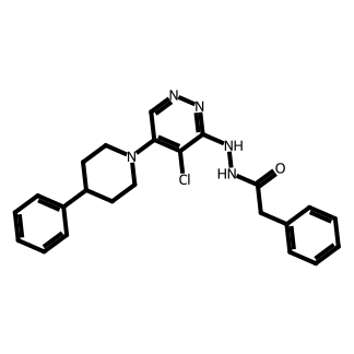 O=C(Cc1ccccc1)NNc1nncc(N2CCC(c3ccccc3)CC2)c1Cl